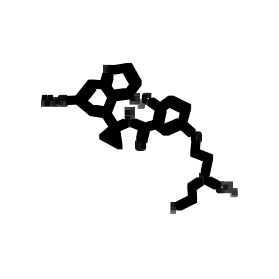 COc1cc(C2(NC(=O)c3cc(OCCN(C)CCF)ccc3C)CC2)c2cccnc2c1